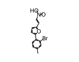 Cc1ccc(-c2ccc(/C=C/[N+](=O)O)o2)c(Br)c1